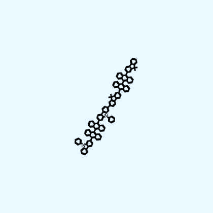 CC1(C)c2ccccc2-c2ccc(-c3c4ccccc4c(-c4c5ccccc5c(-c5ccc6c(c5)C(C)(C)c5cc(-c7ccc8c9ccc(-c%10c%11ccccc%11c(-c%11c%12ccccc%12c(-c%12ccc%13c%14ccccc%14n(-c%14ccccc%14)c%13c%12)c%12ccccc%11%12)c%11ccccc%10%11)cc9n(-c9ccccc9)c8c7)ccc5-6)c5ccccc45)c4ccccc34)cc21